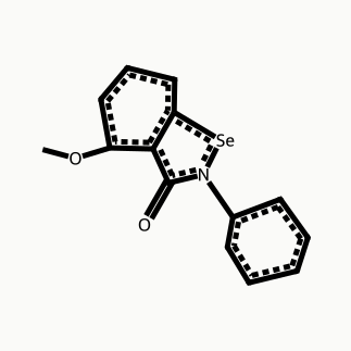 COc1cccc2[se]n(-c3ccccc3)c(=O)c12